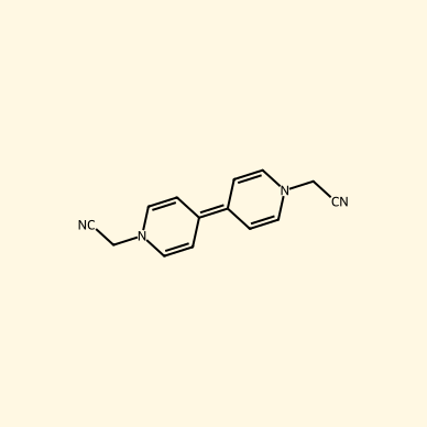 N#CCN1C=CC(=C2C=CN(CC#N)C=C2)C=C1